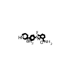 B[C@]1(c2ccc(-n3nc4c(C(N)=O)cccc4c3F)cc2)CCCNC1